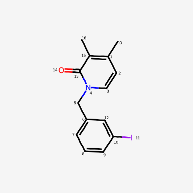 Cc1ccn(Cc2cccc(I)c2)c(=O)c1C